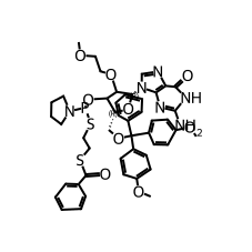 COCCOC1C(OP(SCCSC(=O)c2ccccc2)N2CCCC2)[C@@H](COC(c2ccccc2)(c2ccc(OC)cc2)c2ccc(OC)cc2)O[C@H]1n1cnc2c(=O)[nH]c(N)nc21